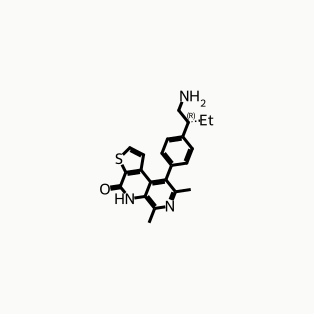 CC[C@@H](CN)c1ccc(-c2c(C)nc(C)c3[nH]c(=O)c4sccc4c23)cc1